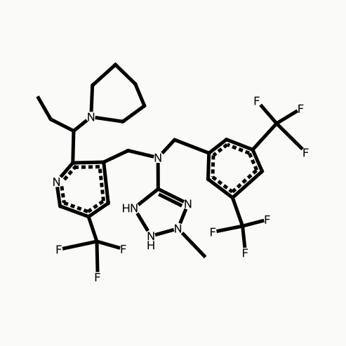 CCC(c1ncc(C(F)(F)F)cc1CN(Cc1cc(C(F)(F)F)cc(C(F)(F)F)c1)C1=NN(C)NN1)N1CCCCC1